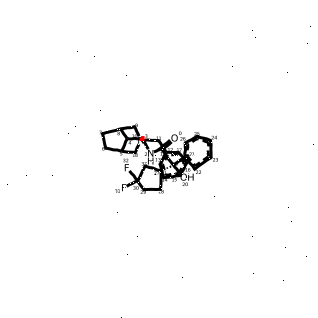 O=C(NCC1C2CCC1CN(Cc1ccccc1)C2)C(O)(c1ccccc1)[C@@H]1CCC(F)(F)C1